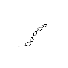 CCCCCCCC1CCC(C2CC=C(c3ccc(-c4ccc(-c5ccc(OCCCC)c(F)c5F)cc4)cc3F)CC2)CC1